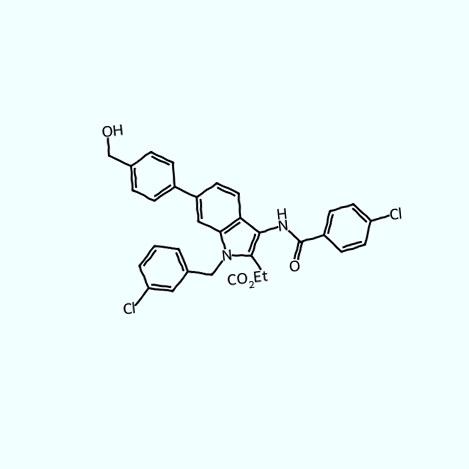 CCOC(=O)c1c(NC(=O)c2ccc(Cl)cc2)c2ccc(-c3ccc(CO)cc3)cc2n1Cc1cccc(Cl)c1